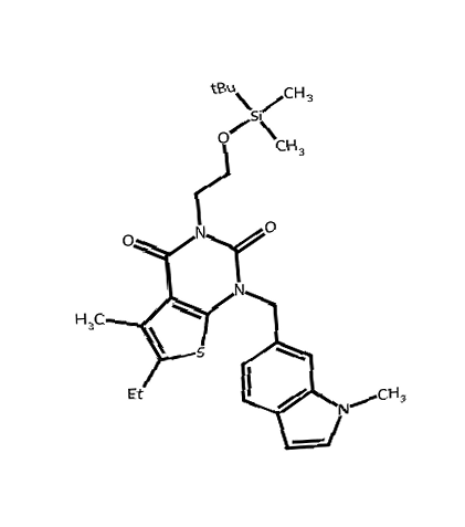 CCc1sc2c(c1C)c(=O)n(CCO[Si](C)(C)C(C)(C)C)c(=O)n2Cc1ccc2ccn(C)c2c1